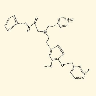 COc1cc(CCN(CC(=O)NCc2ccccc2)Cc2ccccc2)ccc1OCc1cccc(F)c1.Cl